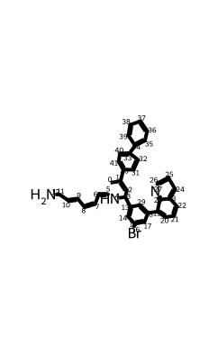 C/C(=C\C(N\C=C/C=C\C=C\CN)c1cc(Br)cc(-c2cccc3cccnc23)c1)c1ccc(-c2ccccc2)cc1